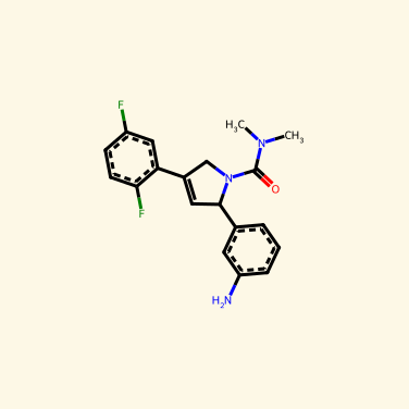 CN(C)C(=O)N1CC(c2cc(F)ccc2F)=CC1c1cccc(N)c1